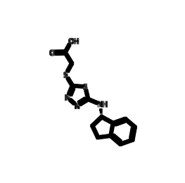 O=C(O)CSc1nnc(N[C@H]2CCc3ccccc32)s1